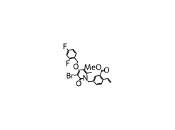 C=Cc1ccc(Cn2c(C)cc(OCc3ccc(F)cc3F)c(Br)c2=O)cc1C(=O)OC